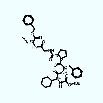 CC(C)C[C@@H](NC(=O)CNC(=O)[C@@H]1CCCN1C(=O)[C@H](Cc1ccccc1)NC(=O)[C@H](NC(=O)OC(C)(C)C)C1CCCCC1)C(=O)OCc1ccccc1